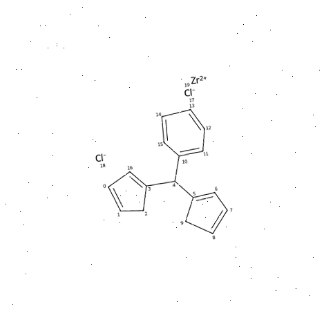 C1=CCC(C(C2=CC=CC2)c2ccccc2)=C1.[Cl-].[Cl-].[Zr+2]